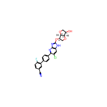 N#Cc1ccc(F)c(-c2ccc(-c3nc4nc(O[C@@H]5CO[C@H]6[C@@H]5OC[C@H]6O)[nH]c4cc3Cl)cc2)c1